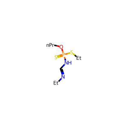 CCCOP(=S)(NC=NCC)SCC